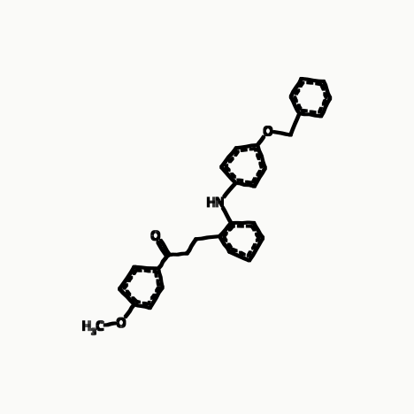 COc1ccc(C(=O)CCc2ccccc2Nc2ccc(OCc3ccccc3)cc2)cc1